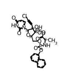 CC(C)OC(=O)[C@H](C)NP(=O)(OC[C@H]1O[C@@H](n2ccc(=O)[nH]c2=O)[C@@](O)(C#CCl)[C@@H]1O)Oc1cccc2ccccc12